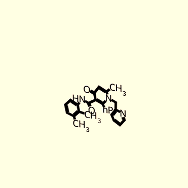 CCCc1c(C(=O)Nc2cccc(C)c2C)c(=O)cc(C)n1Cc1ccccn1